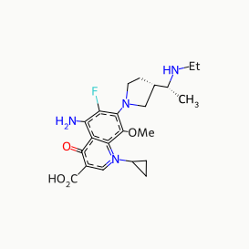 CCN[C@H](C)[C@H]1CCN(c2c(F)c(N)c3c(=O)c(C(=O)O)cn(C4CC4)c3c2OC)C1